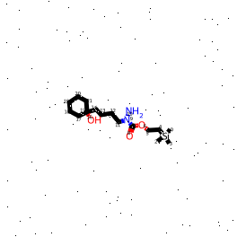 C[Si](C)(C)CCOC(=O)N(N)CCCCC1(O)CCCCC1